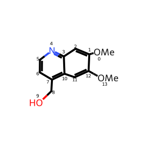 COc1cc2nccc(CO)c2cc1OC